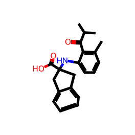 Cc1cccc(NC2(C(=O)O)Cc3ccccc3C2)c1C(=O)C(C)C